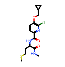 CNC(=O)C(CCSC)NC(=O)c1ccc(OCC2CC2)c(Cl)n1